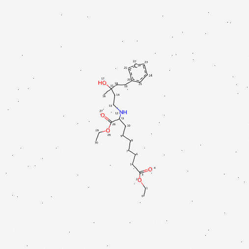 CCOC(=O)CCCCCCC(NCCC(C)(O)CCc1ccccc1)C(=O)OCC